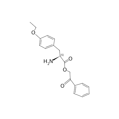 CCOc1ccc(C[C@H](N)C(=O)OCC(=O)c2ccccc2)cc1